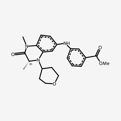 COC(=O)c1cccc(Nc2ccc3c(c2)N(C2CCOCC2)[C@H](C)C(=O)N3C)c1